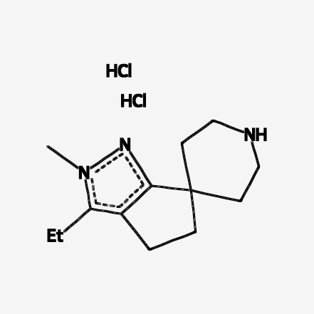 CCc1c2c(nn1C)C1(CCNCC1)CC2.Cl.Cl